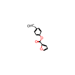 O=Cc1ccc(OC(=O)c2ccco2)cc1